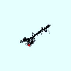 CN(C)CCCC[C@H](N)C(=O)NCCOCCOCCNC(=O)COCC(COC(=O)C(C)(C)Br)(COC(=O)C(C)(C)Br)COC(=O)C(C)(C)Br